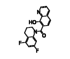 O=C(c1ccc2cccnc2c1O)N1CCCc2c(F)cc(F)cc21